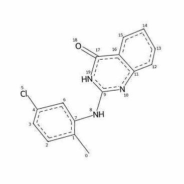 Cc1ccc(Cl)cc1Nc1nc2ccccc2c(=O)[nH]1